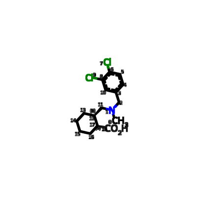 CN(Cc1ccc(Cl)c(Cl)c1)C[C@@H]1CCCC[C@@H]1C(=O)O